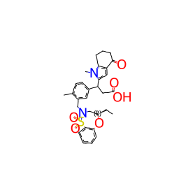 CC[C@@H]1CN(Cc2cc(C(CC(=O)O)c3cc4c(n3C)CCCC4=O)ccc2C)S(=O)(=O)c2ccccc2O1